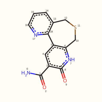 NC(=O)c1cc2c([nH]c1=O)CSCc1cccnc1-2